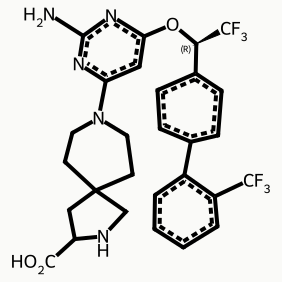 Nc1nc(O[C@H](c2ccc(-c3ccccc3C(F)(F)F)cc2)C(F)(F)F)cc(N2CCC3(CC2)CNC(C(=O)O)C3)n1